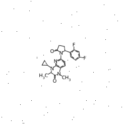 CC1C(=O)N(C)c2ccc(N3C(=O)CCC3c3ccc(F)cc3F)nc2N1C1CC1